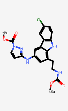 CC(C)(C)OC(=O)NCCc1cc(Nc2ccn(C(=O)OC(C)(C)C)n2)cc2c1[nH]c1ccc(Cl)cc12